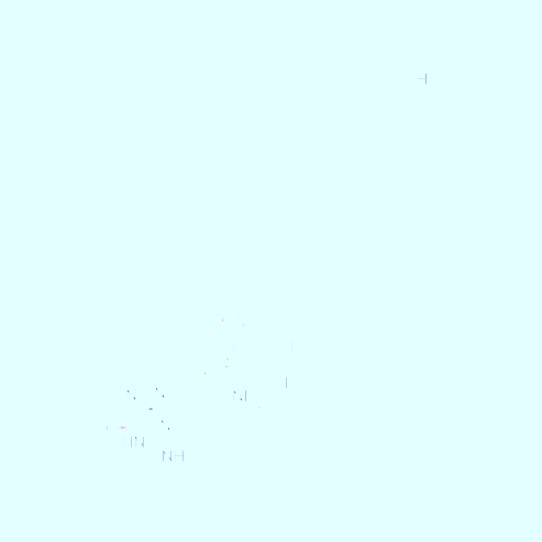 CCCCCCCCCCCCCCCCCCCC(=O)OCCC(CCn1cnc2c(=O)[nH]c(N)nc21)OC(=O)[C@@H](N)C(C)CC